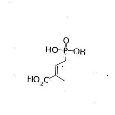 CC(=CCP(=O)(O)O)C(=O)O